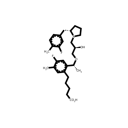 Cc1ccc(C[C@@H]2CCCN2C[C@@H](O)CO[C@H](C)c2cc(F)c(C)cc2CCCCC(=O)O)cc1F